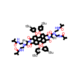 C=C(C)C(=O)NCCN(CCNC(=O)C(=C)C)C(=O)C(C(C)C)N1C(=O)c2cc(Oc3ccc(C(C)(C)C)cc3)c3c4c(Oc5ccc(C(C)(C)C)cc5)cc5c6c(cc(Oc7ccc(C(C)(C)C)cc7)c(c7c(Oc8ccc(C(C)(C)C)cc8)cc(c2c37)C1=O)c64)C(=O)N(C(C(=O)N(CCNC(=O)C(=C)C)CCNC(=O)C(=C)C)C(C)C)C5=O